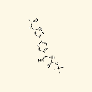 CC(=O)Oc1cc(-c2ccc(C(=N)NC(=O)OC(C)(C)C)cc2)no1